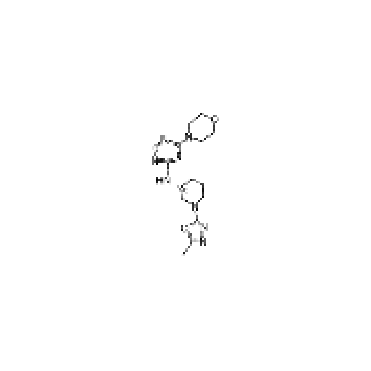 Cc1nnc(N2CCC[C@@H](Nc3cc(N4CCOCC4)ncn3)C2)o1